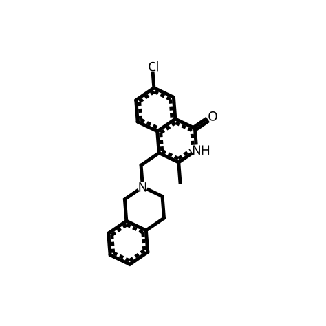 Cc1[nH]c(=O)c2cc(Cl)ccc2c1CN1CCc2ccccc2C1